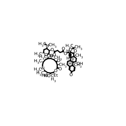 CC[C@H]1OC(=O)[C@H](C)C(=O)[C@H](C)[C@@H](O[C@@H]2O[C@H](C)CC(N(C)C)[C@H]2OC(=O)CCC(=O)OCC(=O)[C@@]23OC(C)(C)O[C@@H]2C[C@H]2[C@@H]4CCC5=CC(=O)C=C[C@]5(C)[C@@]4(F)[C@@H](O)C[C@@]23C)[C@](C)(O)C[C@@H](C)CN(C)[C@H](C)[C@@H](O)[C@]1(C)O